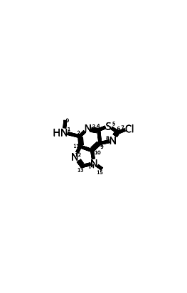 CNc1nc2sc(Cl)nc2c2c1ncn2C